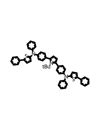 CC(C)(C)n1c(-c2ccc(N(c3ccccc3)c3ccc(-c4ccccc4)s3)cc2)ccc1-c1ccc(N(c2ccccc2)c2ccc(-c3ccccc3)s2)cc1